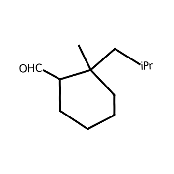 CC(C)CC1(C)CCCCC1C=O